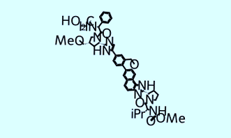 COC[C@H]1C[C@@H](c2ncc(-c3ccc4c(c3)COc3cc5c(ccc6nc([C@@H]7CCCN7C(=O)[C@@H](NC(=O)OC)C(C)C)[nH]c65)cc3-4)[nH]2)N(C(=O)[C@H](NC(=O)O)c2ccccc2)C1